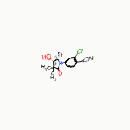 CC[C@H]1[C@@H](O)C(C)(C)C(=O)N1c1ccc(C#N)c(Cl)c1